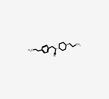 CCCc1ccc(CC(C#N)[C@H]2CC[C@H](CCC)CC2)cc1